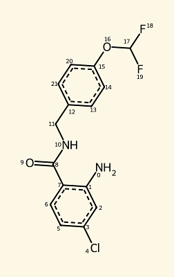 Nc1cc(Cl)ccc1C(=O)NCc1ccc(OC(F)F)cc1